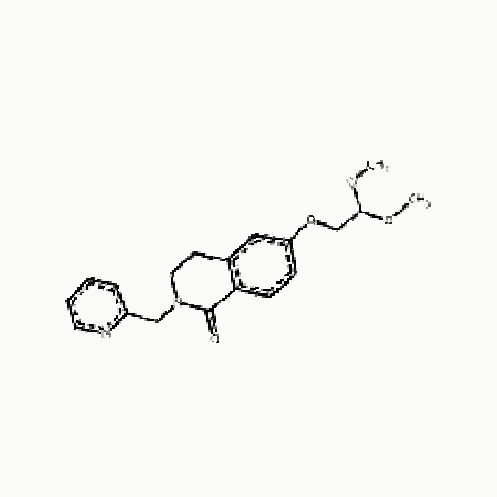 COC(COc1ccc2c(c1)CCN(Cc1ccccn1)C2=O)OC